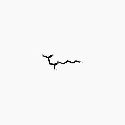 CCC(=O)CC(CC)=NCCCCO